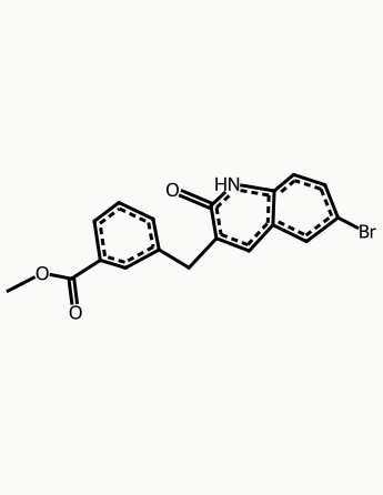 COC(=O)c1cccc(Cc2cc3cc(Br)ccc3[nH]c2=O)c1